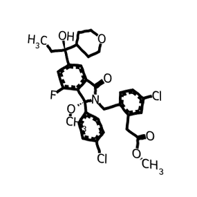 CC[C@@](O)(c1cc(F)c2c(c1)C(=O)N(Cc1ccc(Cl)cc1CC(=O)OC)[C@@]2(OC)c1ccc(Cl)cc1)C1CCOCC1